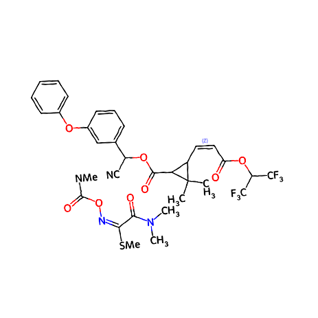 CC1(C)C(/C=C\C(=O)OC(C(F)(F)F)C(F)(F)F)C1C(=O)OC(C#N)c1cccc(Oc2ccccc2)c1.CNC(=O)ON=C(SC)C(=O)N(C)C